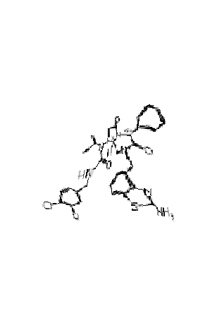 CC(C)N(C(=O)NCc1ccc(Cl)c(Cl)c1)N1CC(=O)N2[C@@H](c3ccccc3)C(=O)N(Cc3cccc4sc(N)nc34)C[C@@H]21